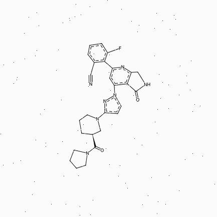 N#Cc1cccc(F)c1-c1cc(-n2ccc(N3CCC[C@H](C(=O)N4CCCC4)C3)n2)c2c(n1)CNC2=O